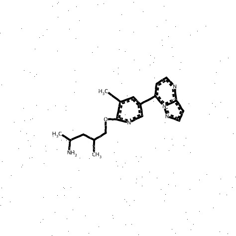 Cc1cc(-c2ccnc3ccnn23)cnc1OCC(C)CC(C)N